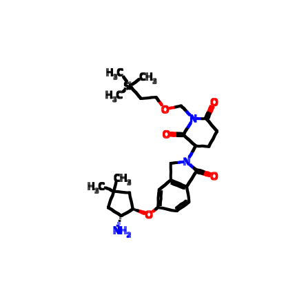 CC1(C)C[C@@H](N)[C@H](Oc2ccc3c(c2)CN(C2CCC(=O)N(COCC[Si](C)(C)C)C2=O)C3=O)C1